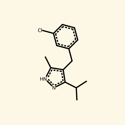 Cc1[nH]nc(C(C)C)c1Cc1cccc(Cl)c1